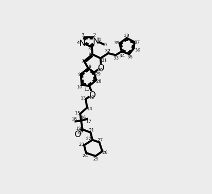 Cn1ccnc1C1=Cc2ccc(OCCCC(C)(C)C(=O)CC3CCCCC3)cc2OC1CCc1ccccc1